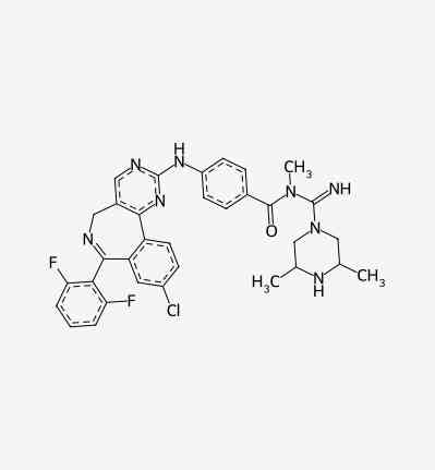 CC1CN(C(=N)N(C)C(=O)c2ccc(Nc3ncc4c(n3)-c3ccc(Cl)cc3C(c3c(F)cccc3F)=NC4)cc2)CC(C)N1